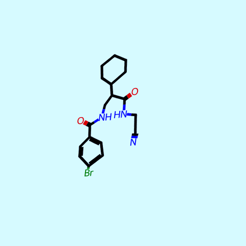 N#CCNC(=O)C(CNC(=O)c1ccc(Br)cc1)C1CCCCC1